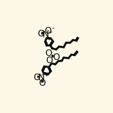 C=CCCCCCCC(OC(=O)OC(CCCCCCC=C)c1ccc([N+](=O)[O-])cc1)c1ccc([N+](=O)[O-])cc1